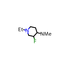 CCN1CCC(NC)C(F)C1